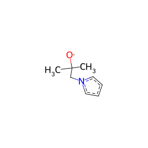 CC(C)([O])Cn1cccc1